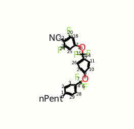 CCCCCc1ccc(C(F)(F)Oc2ccc(C(F)(F)Oc3cc(F)c(C#N)c(F)c3)cc2)cc1